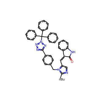 CCCCc1ncc(C=C2C(=O)Nc3ccccc32)n1Cc1ccc(-c2nnn(C(c3ccccc3)(c3ccccc3)c3ccccc3)n2)cc1